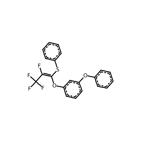 FC(=C(Oc1cccc(Oc2ccccc2)c1)Sc1ccccc1)C(F)(F)F